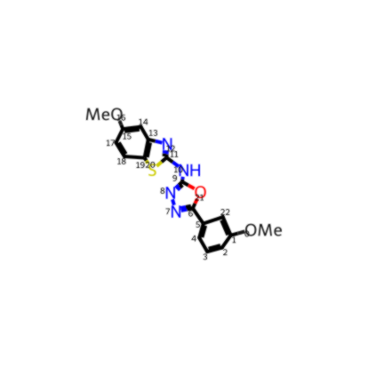 COc1cccc(-c2nnc(Nc3nc4cc(OC)ccc4s3)o2)c1